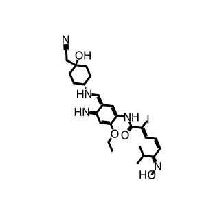 CCOC1=CC(=N)/C(=C\N[C@H]2CC[C@@](O)(CC#N)CC2)C=C1NC(=O)/C(I)=C/C=C\C(=N\O)C(C)C